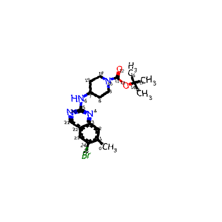 Cc1cc2nc(NC3CCN(C(=O)OC(C)(C)C)CC3)ncc2cc1Br